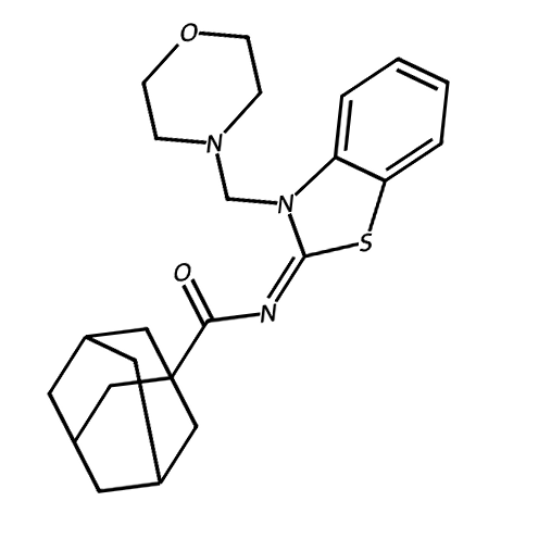 O=C(N=c1sc2ccccc2n1CN1CCOCC1)C12CC3CC(CC(C3)C1)C2